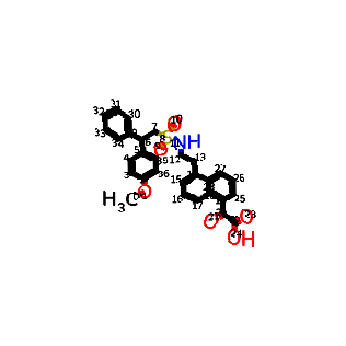 COc1ccc(C(CS(=O)(=O)NCCc2cccc3c(C(=O)C(=O)O)cccc23)c2ccccc2)cc1